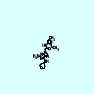 CCn1nc(C)cc1NC(=O)Cn1cnc2c(NC3CCOCC3)nc(N)nc21